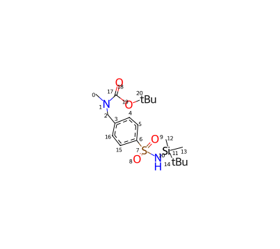 CN(Cc1ccc(S(=O)(=O)N[Si](C)(C)C(C)(C)C)cc1)C(=O)OC(C)(C)C